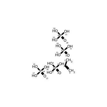 C=CC.O=P(O)(O)O.O=P(O)(O)O.O=P(O)(O)O.O=P(O)(O)O